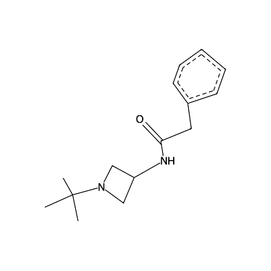 CC(C)(C)N1CC(NC(=O)Cc2ccccc2)C1